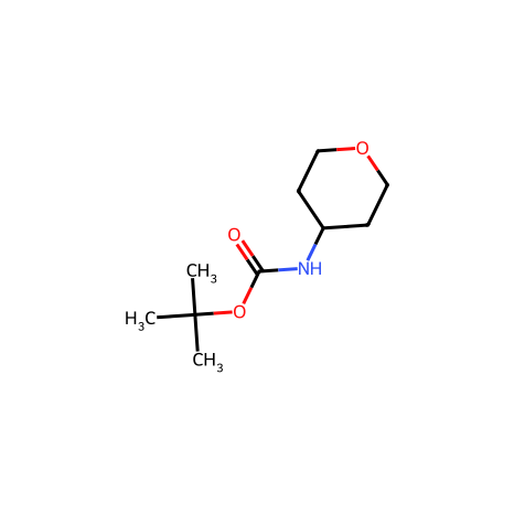 CC(C)(C)OC(=O)NC1CCOCC1